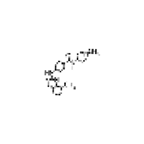 Cc1cccc2cnc(Nc3ccc(C(=O)NC4CCN(C)CC4)cc3)nc12